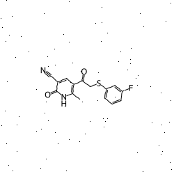 Cc1[nH]c(=O)c(C#N)cc1C(=O)CSc1cccc(F)c1